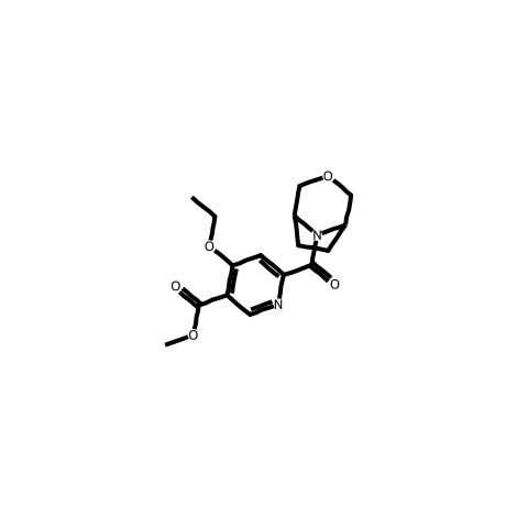 CCOc1cc(C(=O)N2C3CCC2COC3)ncc1C(=O)OC